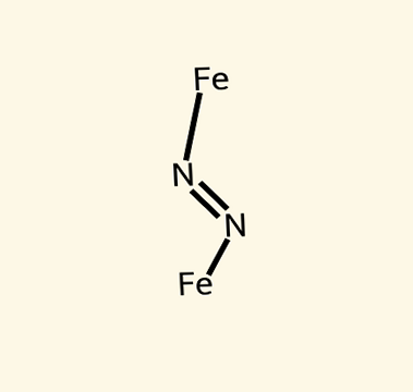 [Fe][N]=[N][Fe]